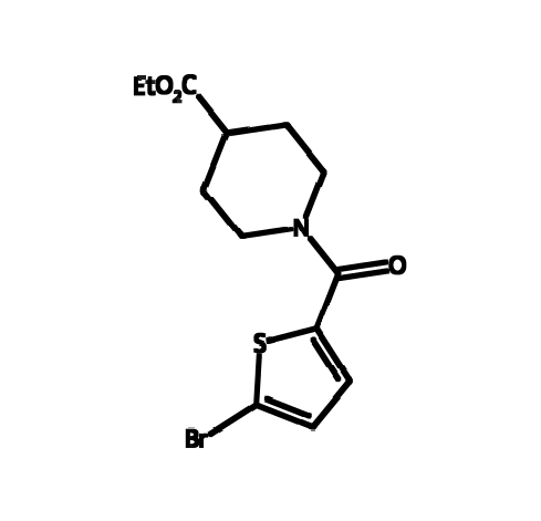 CCOC(=O)C1CCN(C(=O)c2ccc(Br)s2)CC1